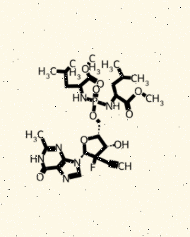 C#CC1(F)[C@@H](O)[C@@H](COP(=O)(NC(CC(C)C)C(=O)OC)NC(CC(C)C)C(=O)OC)O[C@H]1n1cnc2c(=O)[nH]c(C)nc21